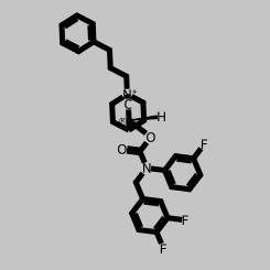 O=C(O[C@H]1C[N+]2(CCCc3ccccc3)CCC1CC2)N(Cc1ccc(F)c(F)c1)c1cccc(F)c1